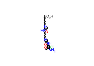 Nc1c(Cl)cc(C(=O)NC2CCN(CCCCCC(=O)NC3CCCN(CCCCCCCC(=O)O)C3)CC2)c2c1CCO2